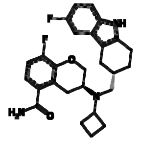 NC(=O)c1ccc(F)c2c1C[C@H](N(C[C@H]1CCc3[nH]c4ccc(F)cc4c3C1)C1CCC1)CO2